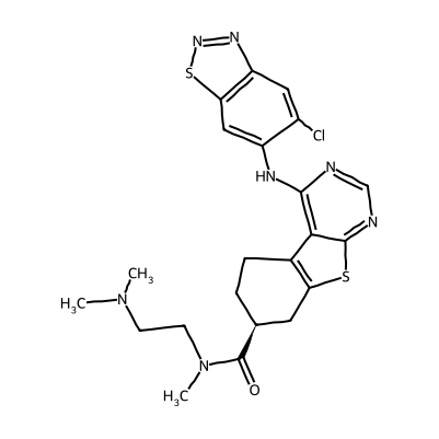 CN(C)CCN(C)C(=O)[C@H]1CCc2c(sc3ncnc(Nc4cc5snnc5cc4Cl)c23)C1